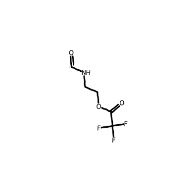 O=[C]NCCOC(=O)C(F)(F)F